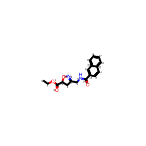 CCOC(=O)C1CC(CNC(=O)c2ccc3ccccc3c2)=NO1